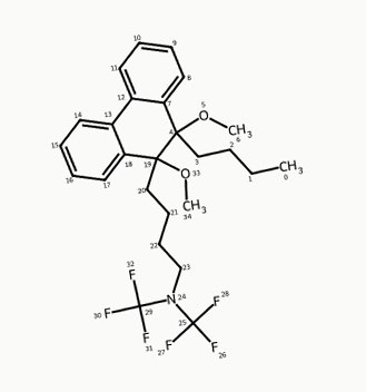 CCCCC1(OC)c2ccccc2-c2ccccc2C1(CCCCN(C(F)(F)F)C(F)(F)F)OC